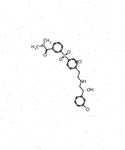 CN(C)C(=O)c1cccc(S(=O)(=O)c2ccc(CCNC[C@H](O)c3cccc(Cl)c3)cc2)c1.Cl